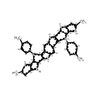 Cc1ccc(-n2c3c4cc5sc6c7sc8cc(C)sc8c7n(-c7ccc(C)cc7)c6c5cc4sc3c3sc4cc(C)sc4c32)cc1